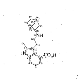 Cc1nc2cccc(C(=O)O)c2n1CCNC1CN2CCC1CC2